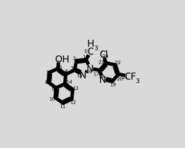 Cc1cc(-c2c(O)ccc3ccccc23)nn1-c1ncc(C(F)(F)F)cc1Cl